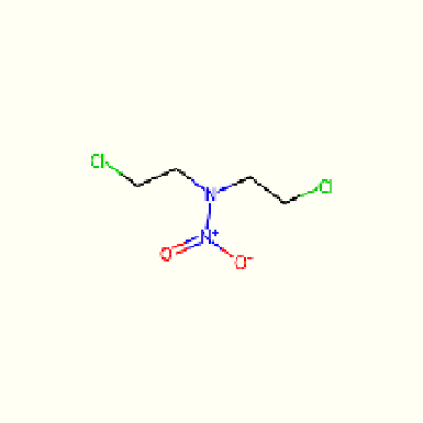 O=[N+]([O-])N(CCCl)CCCl